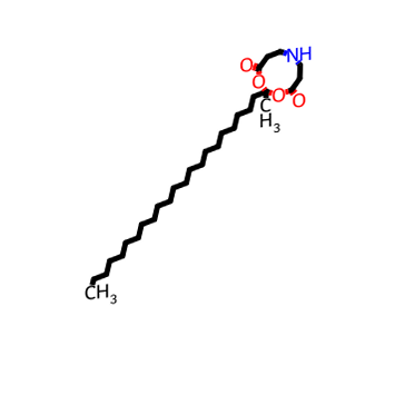 CCCCCCCCCCCCCCCCCCCCCCC1(C)OC(=O)CCNCCC(=O)O1